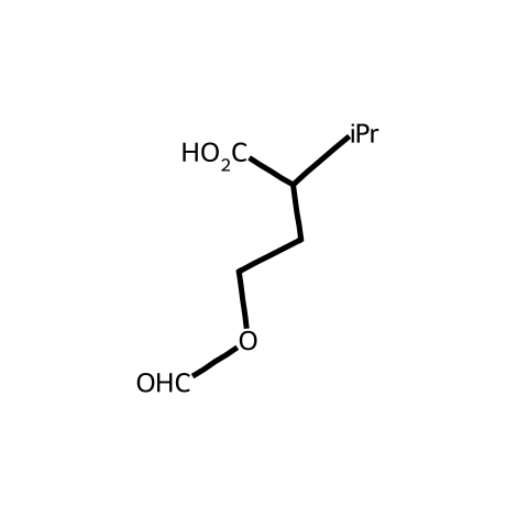 CC(C)C(CCOC=O)C(=O)O